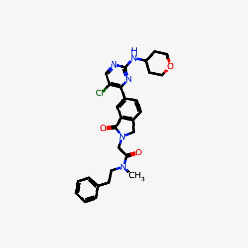 CN(CCc1ccccc1)C(=O)CN1Cc2ccc(-c3nc(NC4CCOCC4)ncc3Cl)cc2C1=O